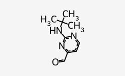 CC(C)(C)Nc1nccc(C=O)n1